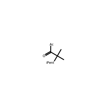 CCCC(C)C(C)(C)C(=O)C(C)=O